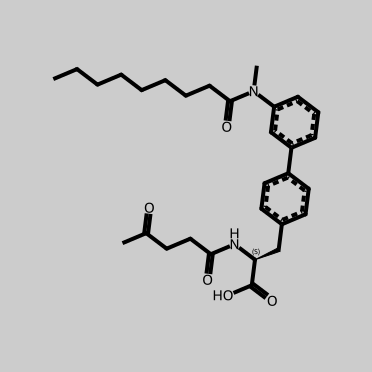 CCCCCCCCC(=O)N(C)c1cccc(-c2ccc(C[C@H](NC(=O)CCC(C)=O)C(=O)O)cc2)c1